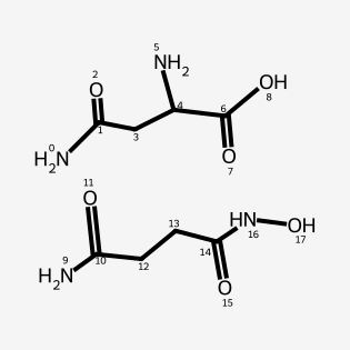 NC(=O)CC(N)C(=O)O.NC(=O)CCC(=O)NO